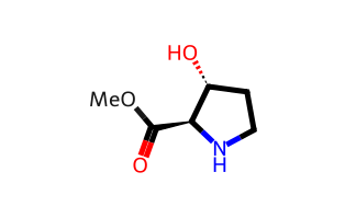 COC(=O)[C@@H]1NCC[C@H]1O